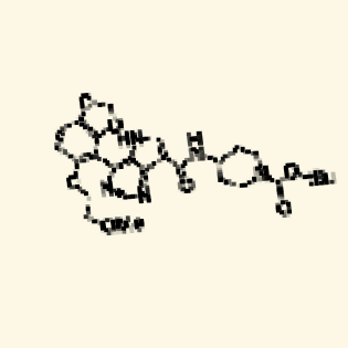 COCCOc1ccc2c(c1-c1ncnc3c(C(=O)NC4CCN(C(=O)OC(C)(C)C)CC4)c[nH]c13)OCO2